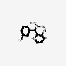 CC(C)(C)N(N)C(c1cccc(Br)c1)c1ncccc1O